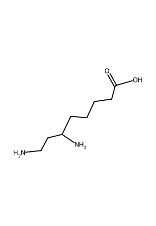 NCCC(N)CCCCC(=O)O